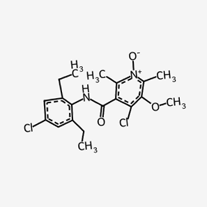 CCc1cc(Cl)cc(CC)c1NC(=O)c1c(Cl)c(OC)c(C)[n+]([O-])c1C